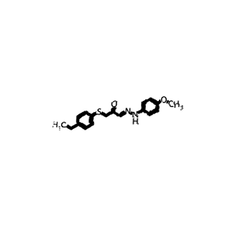 CCc1ccc(SCC(=O)C=NNc2ccc(OC)cc2)cc1